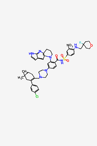 CC1(C)CCC(CN2CCN(c3ccc(C(=O)NS(=O)(=O)c4ccc(NCC5(F)CCOCC5)c([N+](=O)[O-])c4)c(N4CCCc5nc6[nH]ccc6cc54)c3)CC2)=C(c2ccc(Cl)cc2)C1